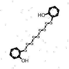 Oc1ccccc1SSSSSSSSSc1ccccc1O